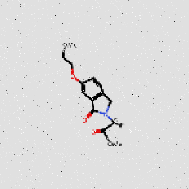 COCCOc1ccc2c(c1)C(=O)N([C@H](C(=O)OC)C(C)C)C2